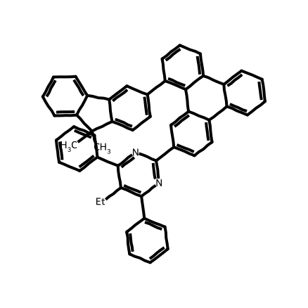 CCc1c(-c2ccccc2)nc(-c2ccc3c4ccccc4c4cccc(-c5ccc6c(c5)-c5ccccc5C6(C)C)c4c3c2)nc1-c1ccccc1